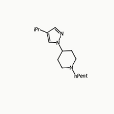 CCCCCN1CCC(n2cc(C(C)C)cn2)CC1